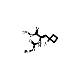 CC1(/C=C(\NC(=O)OC(C)(C)C)C(=O)OC(C)(C)C)CCC1